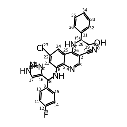 N#Cc1cnc2c(N[C@@H](c3ccc(F)cc3)c3c[nH]nn3)cc(Cl)cc2c1N[C@H](CO)c1ccccc1